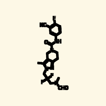 Cc1c2c(nn1CC(F)(F)CN(C)C=O)CCN(C(=O)Nc1ccc(F)c(C#N)c1)C2